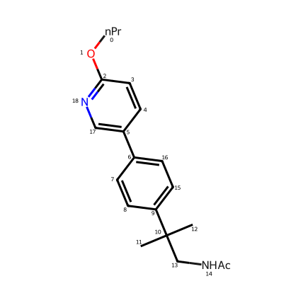 CCCOc1ccc(-c2ccc(C(C)(C)CNC(C)=O)cc2)cn1